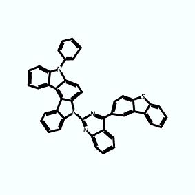 c1ccc(-n2c3ccccc3c3c4c5ccccc5n(-c5nc(-c6ccc7sc8ccccc8c7c6)c6ccccc6n5)c4ccc32)cc1